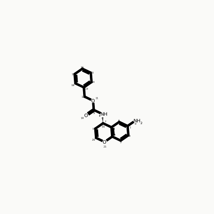 Nc1ccc2c(c1)[C@@H](NC(=O)OCc1ccccc1)C=CO2